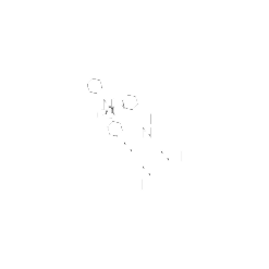 O=S(=O)(c1ccc(CN2CCCNCCNCCCNCC2)cc1)N(Cc1ccccc1)Cc1ccccc1